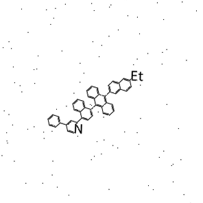 CCc1ccc2cc(-c3c4ccccc4c(-c4ccc(-c5cc(-c6ccccc6)ccn5)c5ccccc45)c4ccccc34)ccc2c1